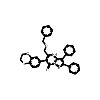 O=c1c(-c2ccc3c(c2)OCCO3)c(COCc2ccccc2)[nH]c2c(-c3ccccc3)c(-c3ccccc3)nn12